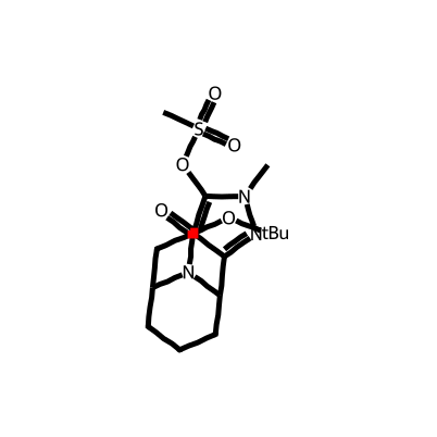 Cn1nc2c(c1OS(C)(=O)=O)CC1CCCC2N1C(=O)OC(C)(C)C